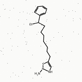 CCC(CCCCCCCC1=CNN(N)S1)c1ccccc1